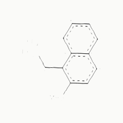 C.COc1ccc2ccccc2c1CC(=O)O